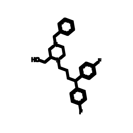 OCC1CN(Cc2ccccc2)CCN1CCCC(c1ccc(F)cc1)c1ccc(F)cc1